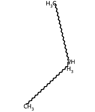 CCCCCCCCCCCCCCCCCCCCCCCCCCCCCP[PH3]CCCCCCCCCCCCCCCCCCCCCCCCCCCCC